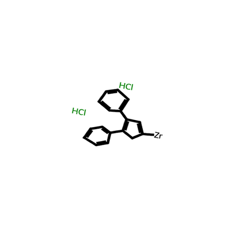 Cl.Cl.[Zr][C]1=CC(c2ccccc2)=C(c2ccccc2)C1